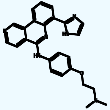 CN(C)CCOc1ccc(Nc2nc3c(-c4ncc[nH]4)cccc3c3cnccc23)cc1